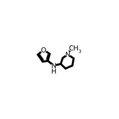 CN1CCCC(Nc2ccoc2)C1